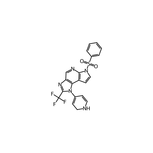 O=S(=O)(c1ccccc1)n1ccc2c1ncc1nc(C(F)(F)F)n(C3=CCNC=C3)c12